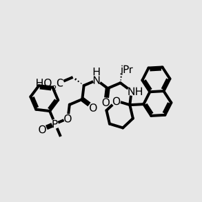 CC(C)[C@H](NC1(c2cccc3ccccc23)CCCCO1)C(=O)N[C@@H](CC(=O)O)C(=O)COP(C)(=O)c1ccccc1